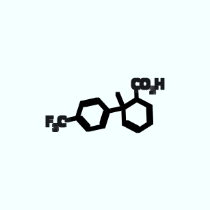 CC1(c2ccc(C(F)(F)F)cc2)C=CC=CC1C(=O)O